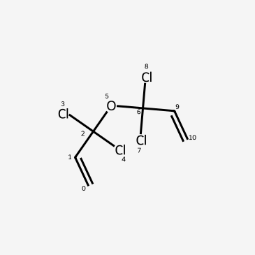 C=CC(Cl)(Cl)OC(Cl)(Cl)C=C